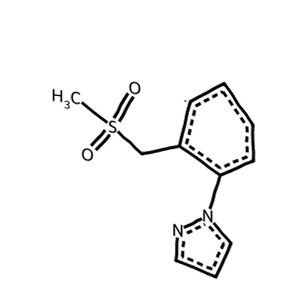 CS(=O)(=O)Cc1[c]cccc1-n1cccn1